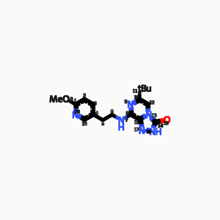 COc1ccc(CCNc2nc(C(C)(C)C)cn3c(=O)[nH]nc23)cn1